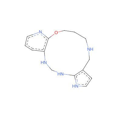 c1cnc2c(c1)NCNc1[nH]ccc1CNCCCO2